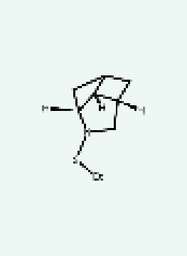 CCSN1C[C@H]2CC3C[C@@H]1[C@H]32